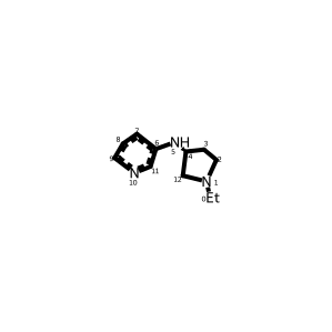 CCN1CC[C@H](Nc2cccnc2)C1